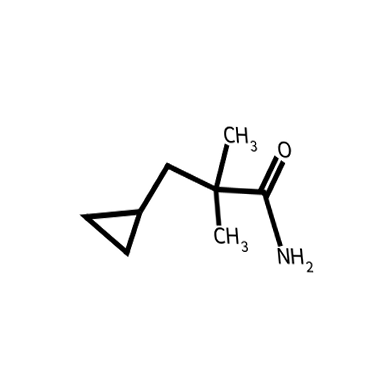 CC(C)(CC1CC1)C(N)=O